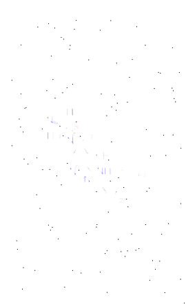 Cc1cc(N=S(C)(=O)C(C)(C)C#N)cc2ncnc(Nc3ccc(F)cc3O[C@H]3CCOC3)c12